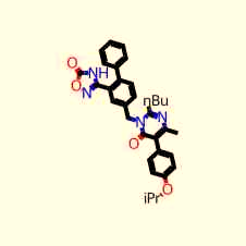 CCCCc1nc(C)c(-c2ccc(OC(C)C)cc2)c(=O)n1Cc1ccc(-c2ccccc2)c(-c2noc(=O)[nH]2)c1